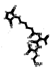 C=C(C)[C@H](NC(=O)CCCCCN1C(=O)C=CC1=O)C(=O)N[C@@H](CCC(=O)O)C(=O)S